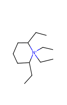 CCC1CCCC(CC)[N+]1(CC)CC